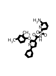 Cc1ccc(Oc2nc(-c3ccccc3)ccc2C(=O)NS(=O)(=O)c2cccc(N)n2)c(C)c1